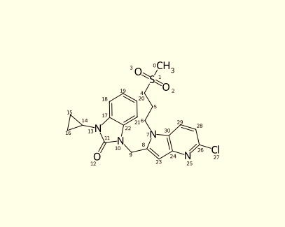 CS(=O)(=O)CCCn1c(Cn2c(=O)n(C3CC3)c3ccccc32)cc2nc(Cl)ccc21